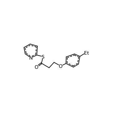 CCc1ccc(OCCC(=O)Sc2ccccn2)cc1